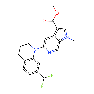 COC(=O)c1cn(C)c2cnc(N3CCCc4ccc(C(F)F)cc43)cc12